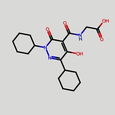 O=C(O)CNC(=O)c1c(O)c(C2CCCCC2)nn(C2CCCCC2)c1=O